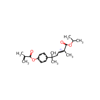 C=C(C)C(=O)Oc1ccc(C(C)(C)C/C=C(\C)C(=O)OC(C)C)cc1